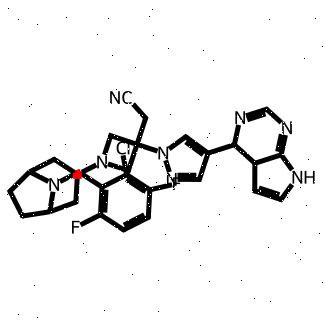 N#CCC1(n2cc(C3N=CN=C4NC=CC43)cn2)CN(C2CC3CCC(C2)N3Cc2c(F)ccc(F)c2Cl)C1